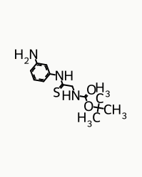 CC(C)(C)OC(=O)NCC(=S)Nc1cccc(N)c1